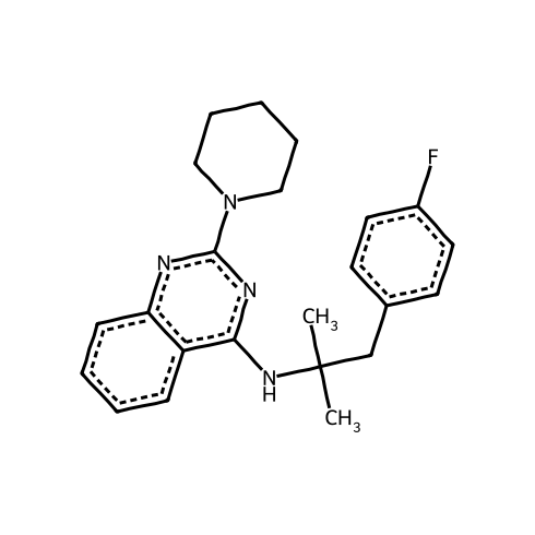 CC(C)(Cc1ccc(F)cc1)Nc1nc(N2CCCCC2)nc2ccccc12